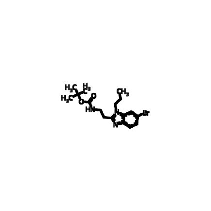 CCCn1c(CCNC(=O)OC(C)(C)C)nc2ccc(Br)cc21